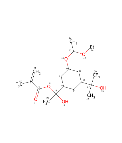 C=C(C(=O)OC(O)(C1CC(OC(C)OCC)CC(C(C)(O)C(F)(F)F)C1)C(F)(F)F)C(F)(F)F